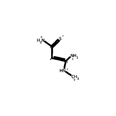 CNC(N)=CC(N)=S